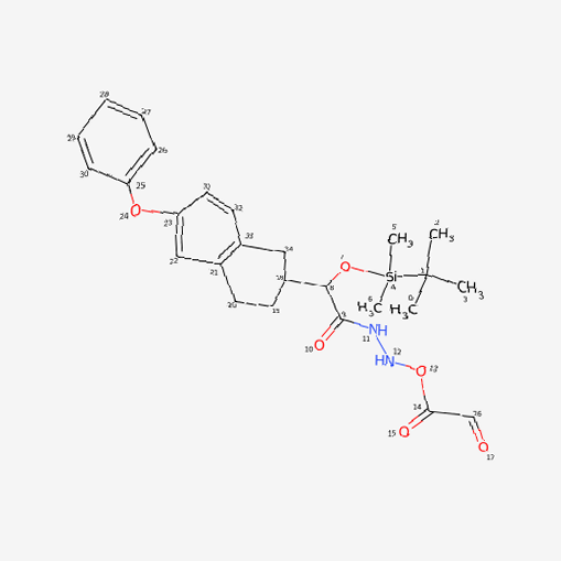 CC(C)(C)[Si](C)(C)OC(C(=O)NNOC(=O)C=O)C1CCc2cc(Oc3ccccc3)ccc2C1